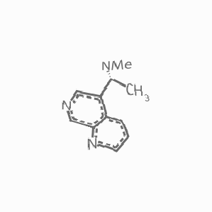 CN[C@H](C)c1cncc2ncccc12